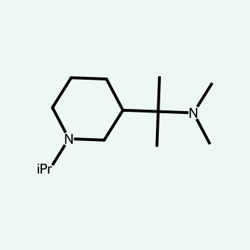 CC(C)N1CCCC(C(C)(C)N(C)C)C1